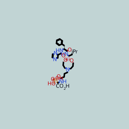 CC(C)CC(NC(=O)[C@@H](Cc1ccccc1)NC(=O)c1cnccn1)B1OCCCN(CCCC(=O)NC(C(=O)O)P(=O)(O)O)CCCO1